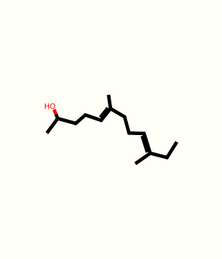 CCC(C)=CCCC(C)=CCCC(C)O